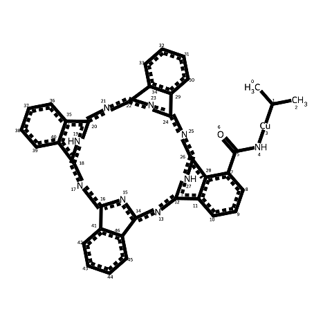 C[CH](C)[Cu][NH]C(=O)c1cccc2c3nc4nc(nc5[nH]c(nc6nc(nc([nH]3)c12)-c1ccccc1-6)c1ccccc51)-c1ccccc1-4